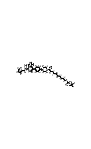 CC(C)(C)OC(=O)NCCCCCCCCCC(=O)N1CCN(c2ccc(-c3cnc(NCc4ccco4)n4cnnc34)cc2)CC1